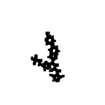 Cc1noc(C)c1NC(=O)NC(c1nnc(CNS(C)(=O)=O)o1)c1nc2ccc(-c3ccc(F)nc3)cc2s1